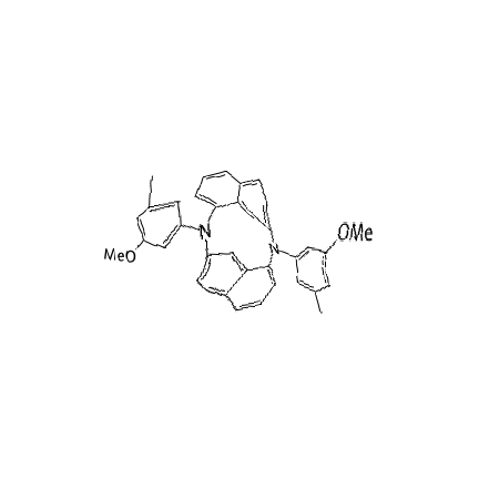 COc1cc(C)cc(-n2c3ccc4cccc(c4c3)n(-c3cc(C)cc(OC)c3)c3ccc4cccc2c4c3)c1